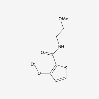 CCOc1ccsc1C(=O)NCCOC